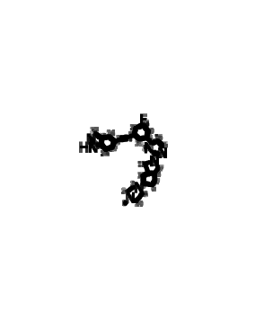 CN1CCN(c2ccc3c(c2)CN(c2nccc(-c4cc(F)cc(C#Cc5ccc6[nH]ncc6c5)c4)n2)C3)CC1